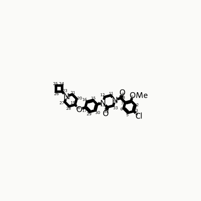 COc1cc(Cl)ccc1C(=O)N1CCN(c2ccc(OC3CCN(C4CCC4)CC3)cc2)C(=O)C1